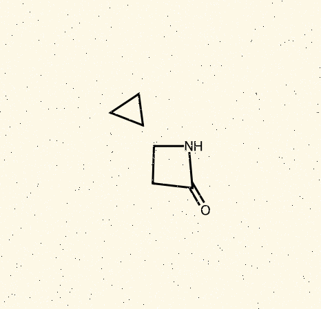 C1CC1.O=C1CCN1